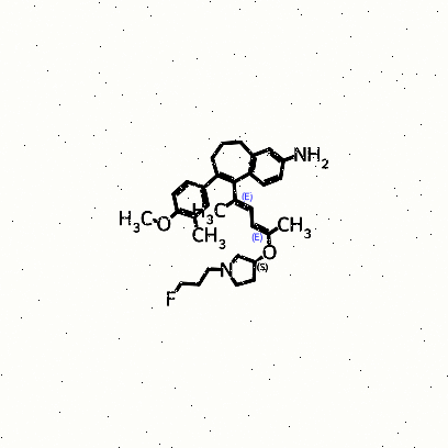 COc1ccc(C2=C(/C(C)=C/C=C(\C)O[C@H]3CCN(CCCF)C3)c3ccc(N)cc3CCC2)cc1C